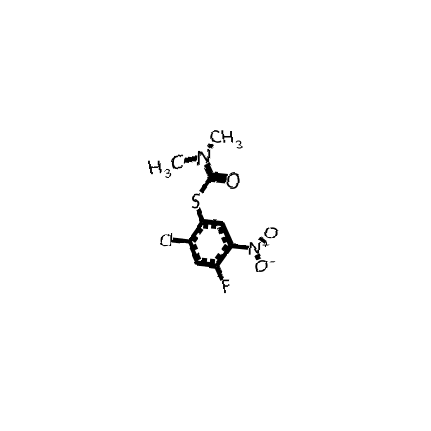 CN(C)C(=O)Sc1cc([N+](=O)[O-])c(F)cc1Cl